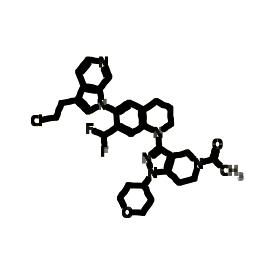 CC(=O)N1CCc2c(c(N3CCCc4cc(-n5cc(CCCl)c6ccncc65)c(C(F)F)cc43)nn2C2CCOCC2)C1